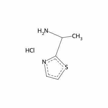 CC(N)c1nccs1.Cl